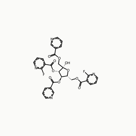 O=C(OC[C@@]1(O)O[C@H](COC(=O)c2cccnc2F)[C@@H](OC(=O)c2cccnc2)[C@@H]1OC(=O)c1cccnc1F)c1cccnc1